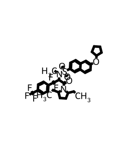 CCC1CCC(CC)N1C(=O)C(N(C)S(=O)(=O)c1ccc2cc(OC3CCCC3)ccc2c1)C(F)(F)c1ccc(C(F)(F)F)cc1